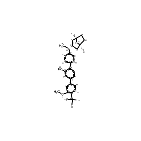 COc1cc(-c2ccc(-c3ncc(N(C)[C@@H]4C[C@H]5CC[C@@H](C4)N5)nn3)c(O)c2)cnc1C(F)(F)F